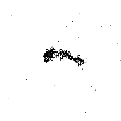 C=C1CC2C(OC3CCCCO3)N(C(=O)O)c3cc(OCCCC(=O)Nc4cn(C)c(C(=O)Nc5ccc(-c6cc(C(=O)NCC(C)O)n(C)c6)cc5)n4)c(OC)cc3C(=O)N2C1